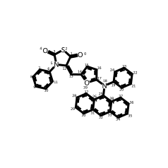 O=C1SC(=O)N(c2ccccc2)/C1=C/c1ccc(N(c2ccccc2)c2c3ccccc3cc3ccccc23)o1